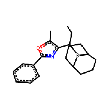 CCC(B1C2CCCC1CCC2)c1nc(-c2ccccc2)oc1C